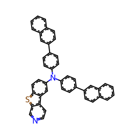 c1ccc2cc(-c3ccc(N(c4ccc(-c5ccc6ccccc6c5)cc4)c4ccc5sc6cnccc6c5c4)cc3)ccc2c1